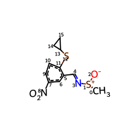 C[S@+]([O-])/N=C/c1cc([N+](=O)[O-])ccc1SC1CC1